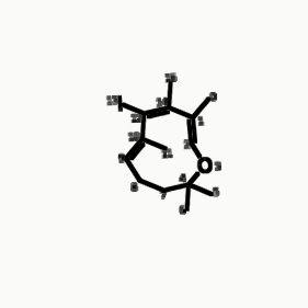 CC1=C\OC(C)(C)CC/C=C(C)/C(I)=C\1C